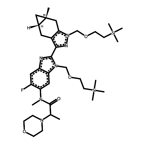 CC(C(=O)N(C)c1cc2c(cc1F)nc(-c1nn(COCC[Si](C)(C)C)c3c1C[C@@H]1C[C@]1(C)C3)n2COCC[Si](C)(C)C)N1CCOCC1